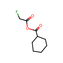 O=C(CF)OC(=O)C1CCCCC1